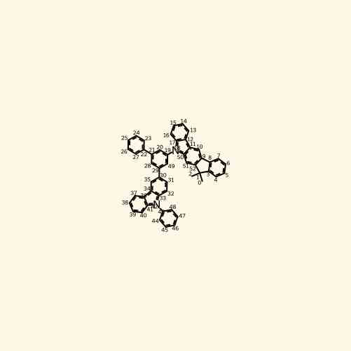 CC1(C)c2ccccc2-c2cc3c4ccccc4n(-c4cc(-c5ccccc5)cc(-c5ccc6c(c5)c5ccccc5n6-c5ccccc5)c4)c3cc21